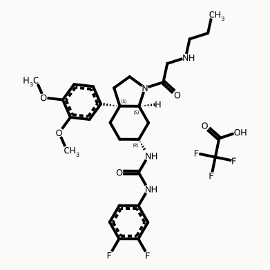 CCCNCC(=O)N1CC[C@]2(c3ccc(OC)c(OC)c3)CC[C@@H](NC(=O)Nc3ccc(F)c(F)c3)C[C@H]12.O=C(O)C(F)(F)F